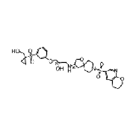 O=S(=O)(c1cnc2c(c1)CCCO2)N1CCC2(CC1)C[C@@H](NC[C@H](O)COc1cccc(S(=O)(=O)C3(CO)CC3)c1)CO2